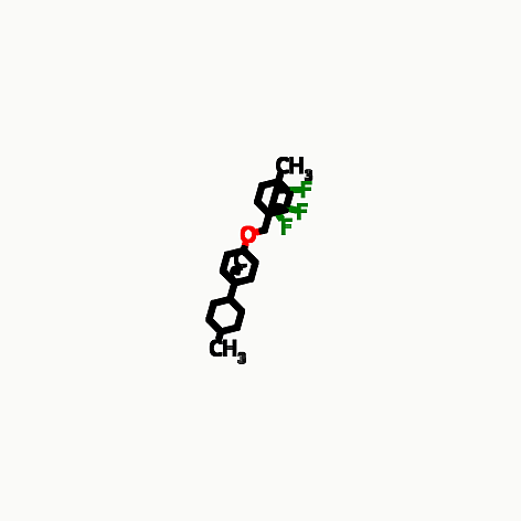 CC1CCC(C23CCC(OCC45CCC(C)(CC4)C(F)C5(F)F)(CC2)CC3)CC1